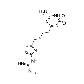 N=C(N)Nc1nc(CSCCC2=NS(=O)(=O)NC(N)=N2)cs1